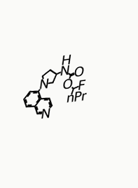 CCCC(F)OC(=O)NC1CCN(c2cccc3cnccc23)C1